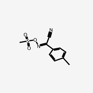 Cc1ccc(C(C#N)=NOS(C)(=O)=O)cc1